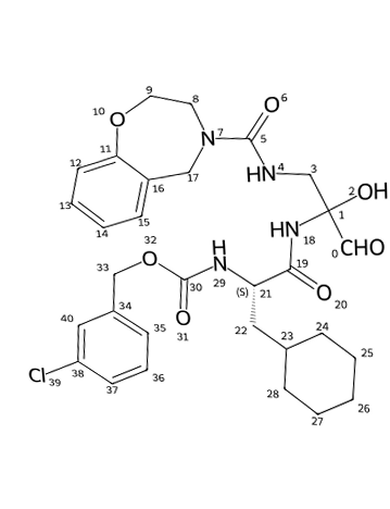 O=CC(O)(CNC(=O)N1CCOc2ccccc2C1)NC(=O)[C@H](CC1CCCCC1)NC(=O)OCc1cccc(Cl)c1